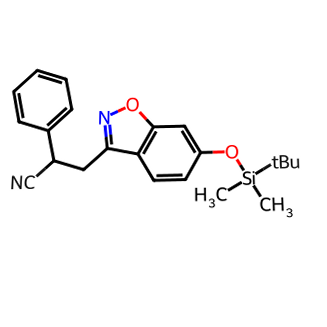 CC(C)(C)[Si](C)(C)Oc1ccc2c(CC(C#N)c3ccccc3)noc2c1